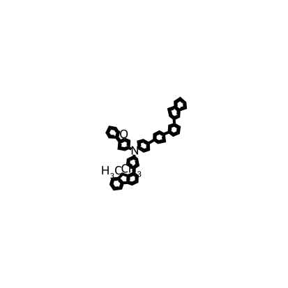 CC1(C)c2ccccc2-c2cccc(-c3ccc(N(c4ccc(-c5ccc(-c6cccc(-c7ccc8ccccc8c7)c6)cc5)cc4)c4ccc5c(c4)oc4ccccc45)cc3)c21